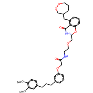 COc1ccc(CCCc2cccc(OCC(=O)NCCOCCOc3cccc(CC4CCCOOC4)c3C(N)=O)c2)cc1OC